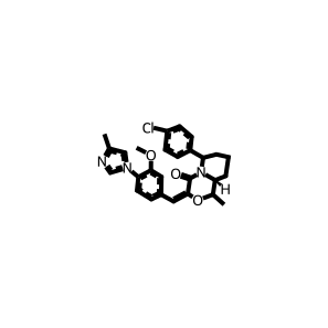 COc1cc(/C=C2/OC(C)[C@H]3CCCC(c4ccc(Cl)cc4)N3C2=O)ccc1-n1cnc(C)c1